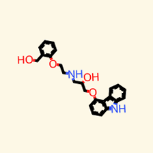 OCc1ccccc1OCCNCC(O)COc1cccc2[nH]c3ccccc3c12